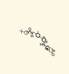 Cc1cc(-c2cc(Nc3cc4n(n3)CC(=O)N(C)C4)ncn2)ccc1CNC(=O)N1CCC(C(C)(C)C)C1